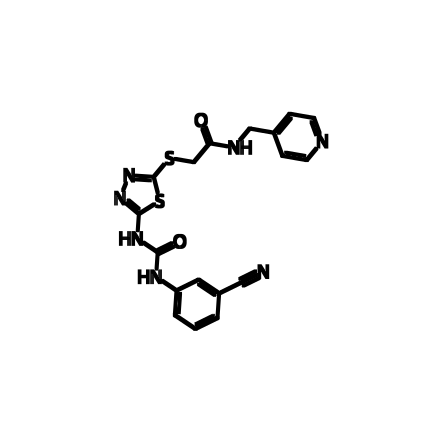 N#Cc1cccc(NC(=O)Nc2nnc(SCC(=O)NCc3ccncc3)s2)c1